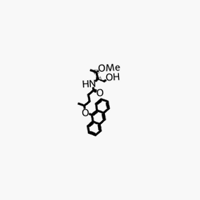 CO[C@H](C)[C@@H](CO)NC(=O)CCC(C)Oc1c2ccccc2cc2ccccc12